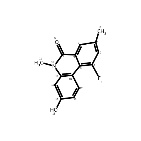 Cc1cc(F)c2c(c1)c(=O)n(C)c1cc(O)ccc21